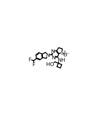 [O-][S@+]1CCc2nc(N3Cc4ccc(C(F)F)cc4C3)nc(NC3(CO)CCC3)c21